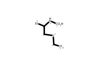 CCC(CSCC(F)(F)F)NC(=O)O